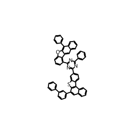 c1ccc(-c2cccc(-c3cc4ccccc4c4c3sc3cc(-c5nc(-c6ccccc6)nc(-c6cccc7oc8c(-c9ccccc9)c9ccccc9cc8c67)n5)ccc34)c2)cc1